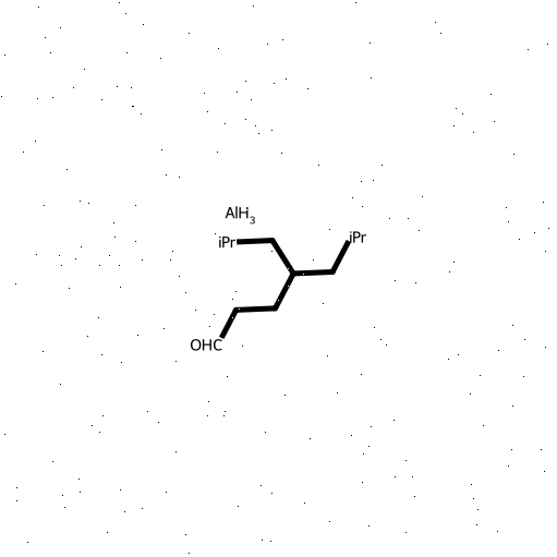 CC(C)CC(CCC=O)CC(C)C.[AlH3]